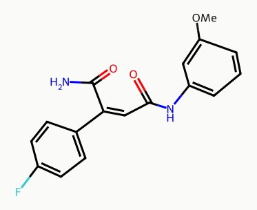 COc1cccc(NC(=O)/C=C(\C(N)=O)c2ccc(F)cc2)c1